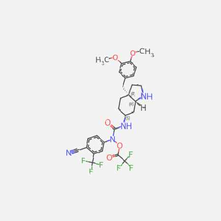 COc1ccc(C[C@]23CCN[C@@H]2C[C@@H](NC(=O)N(OC(=O)C(F)(F)F)c2ccc(C#N)c(C(F)(F)F)c2)CC3)cc1OC